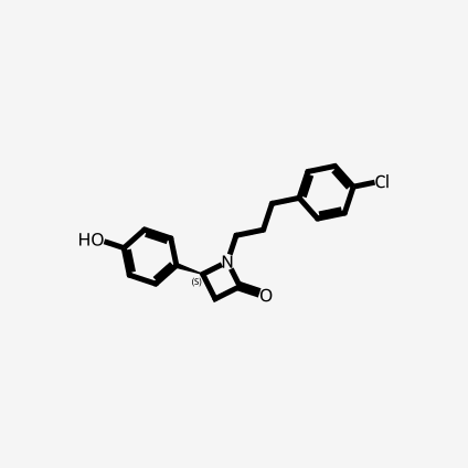 O=C1C[C@@H](c2ccc(O)cc2)N1CCCc1ccc(Cl)cc1